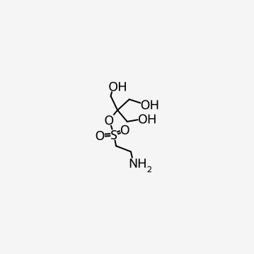 NCCS(=O)(=O)OC(CO)(CO)CO